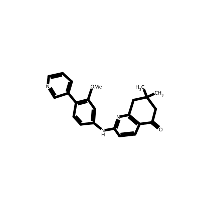 COc1cc(Nc2ccc3c(n2)CC(C)(C)CC3=O)ccc1-c1cccnc1